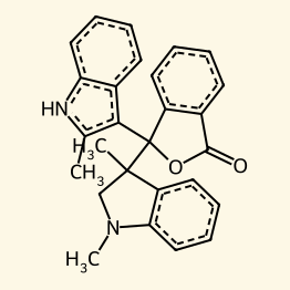 Cc1[nH]c2ccccc2c1C1(C2(C)CN(C)c3ccccc32)OC(=O)c2ccccc21